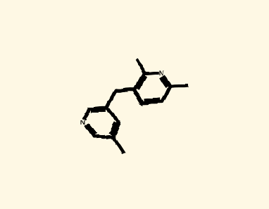 Cc1cncc(Cc2ccc(C)nc2C)c1